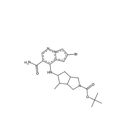 CC1C(Nc2c(C(N)=O)cnn3cc(Br)cc23)CC2CN(C(=O)OC(C)(C)C)CC21